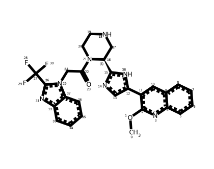 COc1nc2ccccc2cc1-c1cnc([C@@H]2CNCCN2C(=O)Cn2c(C(F)(F)F)nc3ccccc32)[nH]1